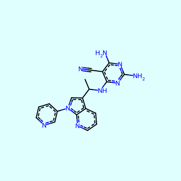 CC(Nc1nc(N)nc(N)c1C#N)c1cn(-c2cccnc2)c2ncccc12